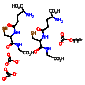 NC(CCC(=O)NC(CS)C(=O)NCC(=O)O)C(=O)O.NC(CCC(=O)NC(CS)C(=O)NCC(=O)O)C(=O)O.O=[Si]([O-])[O-].O=[Si]([O-])[O-].O=[Si]([O-])[O-].[Y+3].[Y+3]